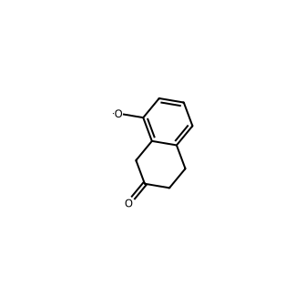 [O]c1cccc2c1CC(=O)CC2